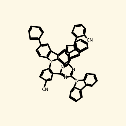 N#Cc1ccc(-n2c3ccc(-c4ccccc4)cc3c3cc(-c4ccccc4)ccc32)c(-c2nc(-c3ccc(-c4ccccc4C#N)cc3)nc(-n3c4ccccc4c4ccccc43)n2)c1